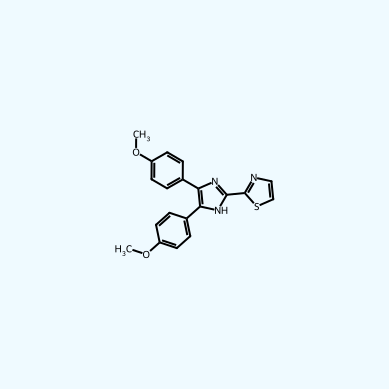 COc1ccc(-c2nc(-c3nccs3)[nH]c2-c2ccc(OC)cc2)cc1